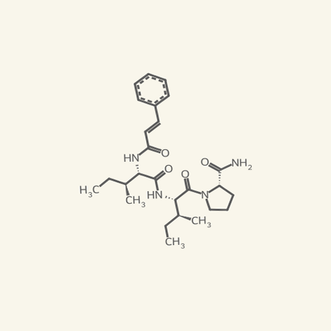 CC[C@H](C)[C@H](NC(=O)C=Cc1ccccc1)C(=O)N[C@H](C(=O)N1CCC[C@H]1C(N)=O)[C@@H](C)CC